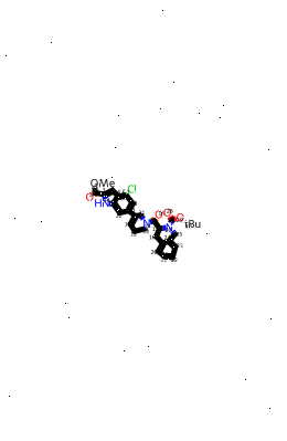 COC(=O)c1cc2c(Cl)cc(C3=CCCN(C(=O)C4Cc5ccccc5CN4C(=O)OC(C)(C)C)C3)cc2[nH]1